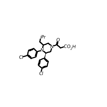 CC(C)CC1CN(C(=O)CC(=O)O)C[C@@H](c2ccc(Cl)cc2)N1c1ccc(Cl)cc1